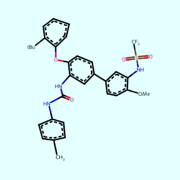 COc1ccc(-c2ccc(Oc3ccccc3C(C)(C)C)c(NC(=O)Nc3ccc(C)cc3)c2)cc1NS(=O)(=O)C(F)(F)F